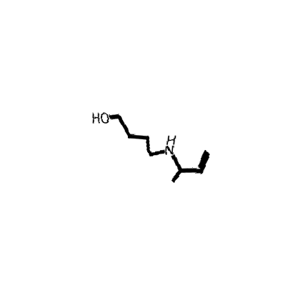 C=CC(C)NCCCCO